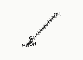 O=C(CCCCCCCCCCCCCCCCCCCCCO)OCC(O)CO